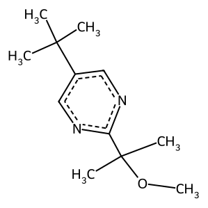 COC(C)(C)c1ncc(C(C)(C)C)cn1